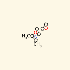 Cc1ccc2c(c1)c1cc(C)ccc1n2-c1cccc2c1oc1cccc(-c3ccc4oc5ccccc5c4c3)c12